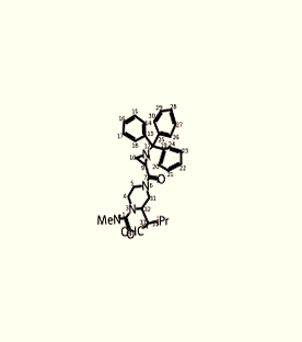 CNC(=O)N1CCN(C(=O)C2C[N@@]2C(c2ccccc2)(c2ccccc2)c2ccccc2)CC1C(C=O)C(C)C